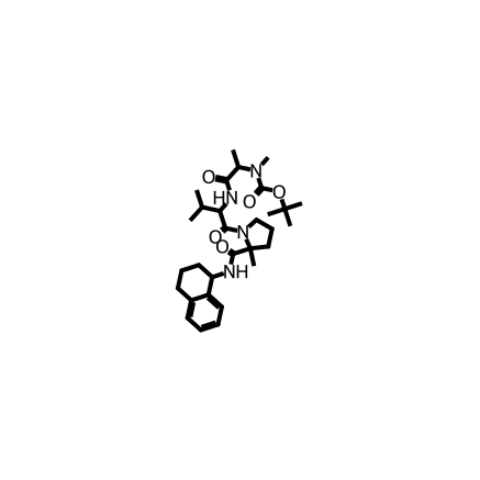 CC(C)C(NC(=O)C(C)N(C)C(=O)OC(C)(C)C)C(=O)N1CCCC1(C)C(=O)NC1CCCc2ccccc21